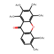 CC(=O)Oc1ccc2c(=O)c3c(OC(C)=O)c(OC(C)=O)c(OC(C)=O)c(OC(C)=O)c3oc2c1OC(C)=O